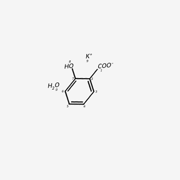 O.O=C([O-])c1ccccc1O.[K+]